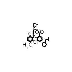 CCOCOC(=O)c1ccccc1Nc1c(Cl)ccc(C)c1Cl.ICC1CCCC1